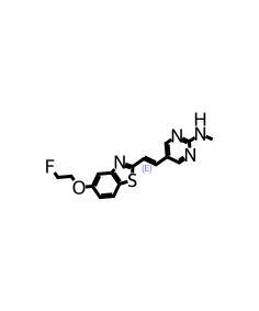 CNc1ncc(/C=C/c2nc3cc(OCCF)ccc3s2)cn1